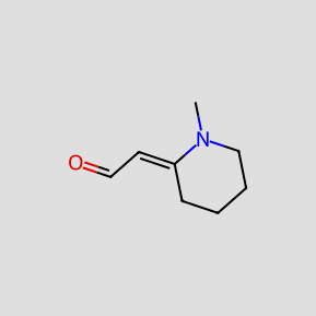 CN1CCCC/C1=C\C=O